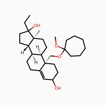 CCC1(O)CC[C@H]2[C@@H]3CCC4=CC(O)CC[C@]4(COC4(OC)CCCCCC4)[C@@H]3CC[C@@]21C